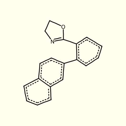 c1ccc(-c2ccc3ccccc3c2)c(C2=NCCO2)c1